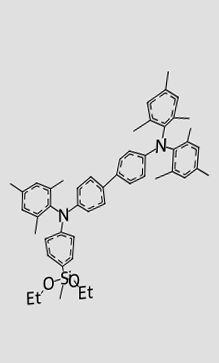 CCO[Si](C)(OCC)c1ccc(N(c2ccc(-c3ccc(N(c4c(C)cc(C)cc4C)c4c(C)cc(C)cc4C)cc3)cc2)c2c(C)cc(C)cc2C)cc1